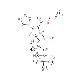 C=CCOC(=O)C1=C(C2CCCO2)S[C@@H]2[C@@H]([C@@H](C)O[Si](C)(C)C(C)(C)C)C(=O)N12